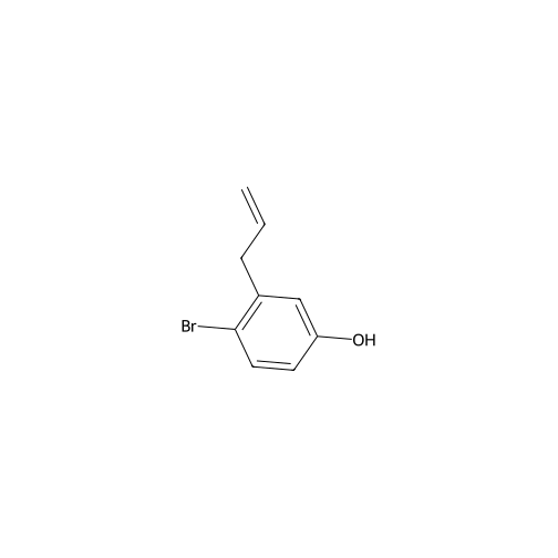 C=CCc1cc(O)ccc1Br